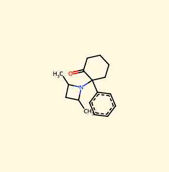 CC1CC(C)N1C1(c2ccccc2)CCCCC1=O